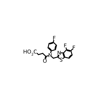 O=C(O)CCC(=O)N(Cc1nc2c(F)c(F)ccc2s1)c1ccc(F)cc1